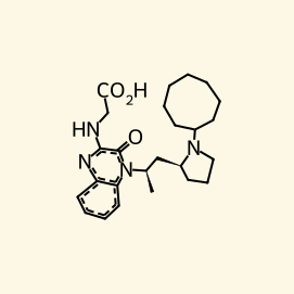 C[C@H](C[C@@H]1CCCN1C1CCCCCCC1)n1c(=O)c(NCC(=O)O)nc2ccccc21